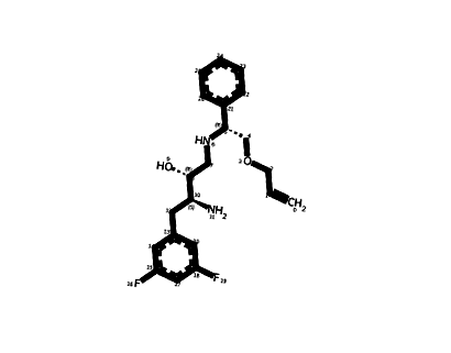 C=CCOC[C@H](NC[C@@H](O)[C@@H](N)Cc1cc(F)cc(F)c1)c1ccccc1